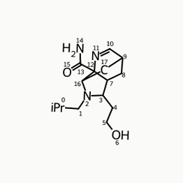 CC(C)CN1C(CCO)C2CC3C=NC2(C(N)=O)C1C3